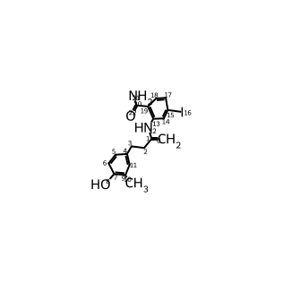 C=C(CCc1ccc(O)c(C)c1)Nc1cc(I)ccc1C(N)=O